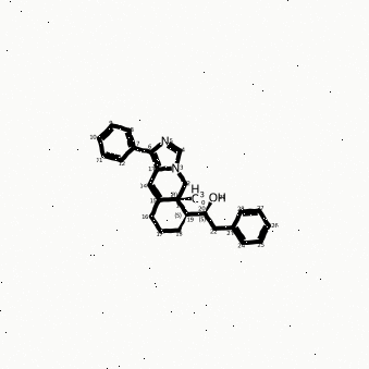 C[C@]12Cn3cnc(-c4ccccc4)c3C=C1CCC[C@@H]2[C@@H](O)Cc1ccccc1